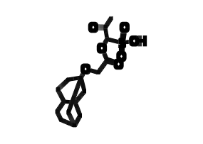 CC(=O)C(OC(=O)COC12CCC3CCC(CC3C1)C2)S(=O)(=O)O